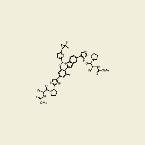 COC(=O)N[C@H](C(=O)N1CCC[C@H]1c1ncc(-c2cc(F)c3c(c2)OC(c2ccc(C4CC4(F)F)s2)n2c-3cc3cc(-c4cnc([C@@H]5CCCN5C(=O)[C@@H](NC(=O)OC)C(C)C)[nH]4)ccc32)[nH]1)C(C)C